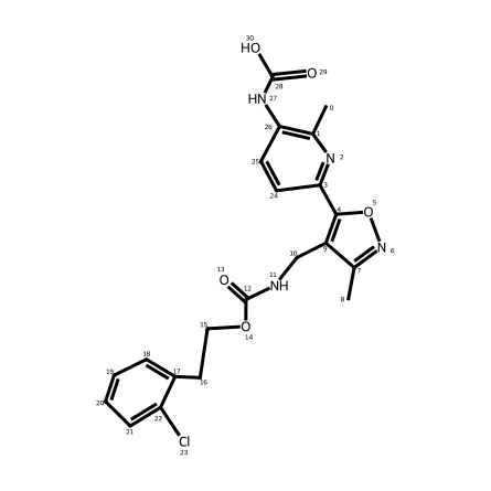 Cc1nc(-c2onc(C)c2CNC(=O)OCCc2ccccc2Cl)ccc1NC(=O)O